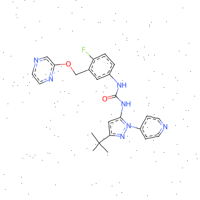 CC(C)(C)c1cc(NC(=O)Nc2ccc(F)c(COc3cnccn3)c2)n(-c2ccncc2)n1